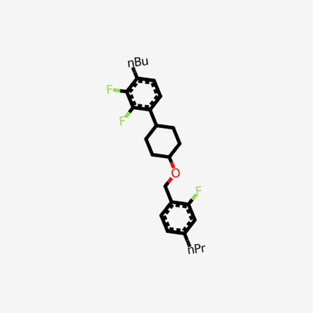 CCCCc1ccc(C2CCC(OCc3ccc(CCC)cc3F)CC2)c(F)c1F